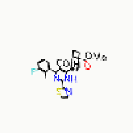 COC(=O)C12C3C4C1C1C2C3C41C1=C(C(=O)O)C(c2cccc(F)c2C)N=C(c2nccs2)N1